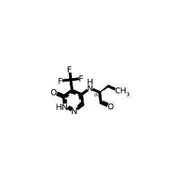 CC[C@@H](C=O)Nc1cn[nH]c(=O)c1C(F)(F)F